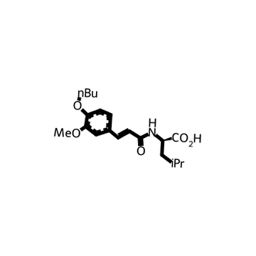 CCCCOc1ccc(/C=C/C(=O)N[C@H](CC(C)C)C(=O)O)cc1OC